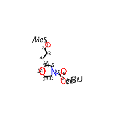 CSOCCC[C@@H]1CN(C(=O)OC(C)(C)C)CCO1